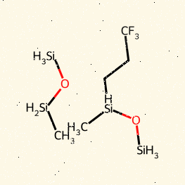 C[SiH2]O[SiH3].C[SiH](CCC(F)(F)F)O[SiH3]